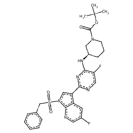 CC(C)(C)OC(=O)N1CCC[C@@H](Nc2nc(-c3cn(S(=O)(=O)Cc4ccccc4)c4ncc(F)cc34)ncc2F)C1